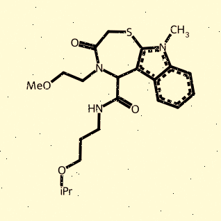 COCCN1C(=O)CSc2c(c3ccccc3n2C)C1C(=O)NCCCOC(C)C